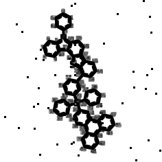 c1ccc(-n2c3ccccc3c3c4sc5c(-c6cccc([Si](c7ccccc7)(c7ccccc7)c7ccc8c9ccccc9c9ccccc9c8c7)c6)cccc5c4ccc32)cc1